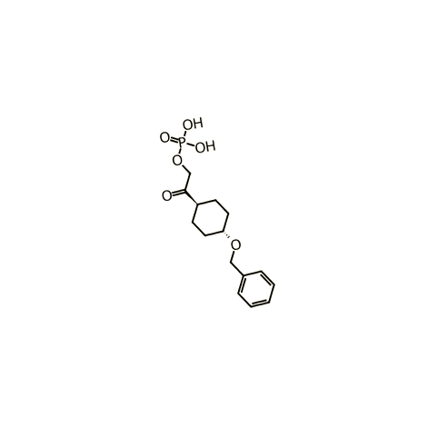 O=C(COP(=O)(O)O)[C@H]1CC[C@H](OCc2ccccc2)CC1